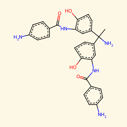 CC(N)(c1ccc(O)c(NC(=O)c2ccc(N)cc2)c1)c1ccc(O)c(NC(=O)c2ccc(N)cc2)c1